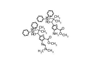 COC(=O)c1sc(C(O[SiH](c2ccccc2)c2ccccc2)C(C)(C)C)cc1N.COC(=O)c1sc(C(O[SiH](c2ccccc2)c2ccccc2)C(C)(C)C)cc1N=CN(C)C